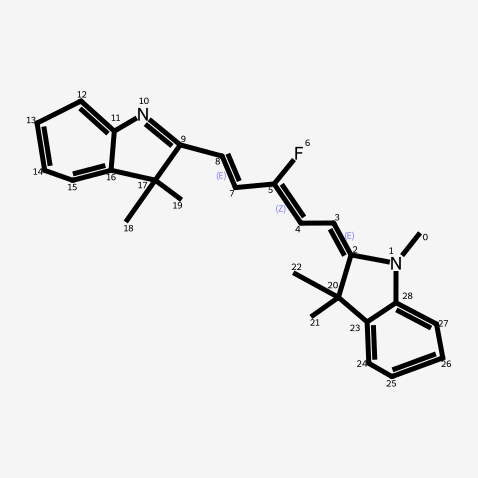 CN1/C(=C/C=C(F)/C=C/C2=Nc3ccccc3C2(C)C)C(C)(C)c2ccccc21